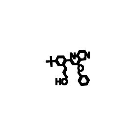 CC(C)(C)c1ccc(-c2cc(OCc3ccccc3)c3cnccc3n2)c(/C=C/CO)c1